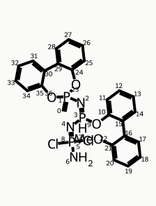 C=P1(/N=[PH](\N=P(N)(Cl)Cl)Oc2ccccc2-c2ccccc2OC)Oc2ccccc2-c2ccccc2O1